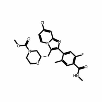 CNC(=O)c1cc(C)c(-c2nc3cc(Cl)ccn3c2C[C@H]2CN(C(=O)OC)CCO2)cc1F